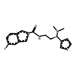 CN(C)[C@H](CCNC(=O)n1cc2ccc(F)cc2c1)c1ccsc1